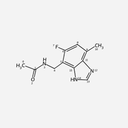 CC(=O)NCc1c(F)cc(C)c2nc[nH]c12